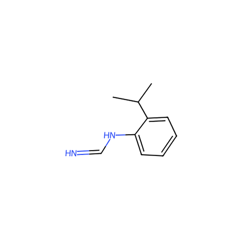 CC(C)c1ccccc1NC=N